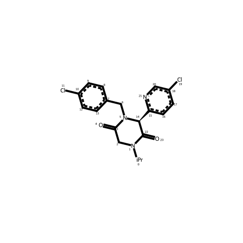 CC(C)N1CC(=O)N(Cc2ccc(Cl)cc2)[C@@H](c2ccc(Cl)cn2)C1=O